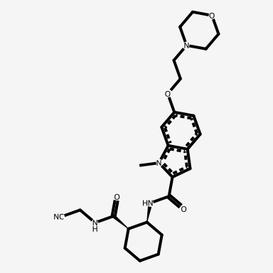 Cn1c(C(=O)N[C@H]2CCCC[C@H]2C(=O)NCC#N)cc2ccc(OCCN3CCOCC3)cc21